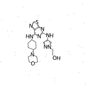 OCCn1cc(Nc2nc(N[C@H]3CC[C@H](N4CCOCC4)CC3)c3ncsc3n2)cn1